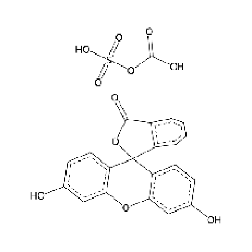 O=C(O)OS(=O)(=O)O.O=C1OC2(c3ccc(O)cc3Oc3cc(O)ccc32)c2ccccc21